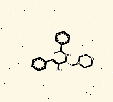 C[C@H](N[C@H](CN1CCOCC1)C(O)=Cc1ccccc1)c1ccccc1